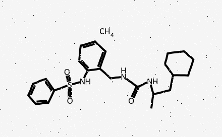 C.CC(CC1CCCCC1)NC(=O)NCc1ccccc1NS(=O)(=O)c1ccccc1